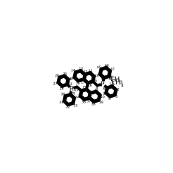 Cc1ccccc1P(Cc1ccc2ccccc2c1-c1c(CP(c2ccccc2)c2ccccc2)ccc2ccccc12)c1ccccc1C